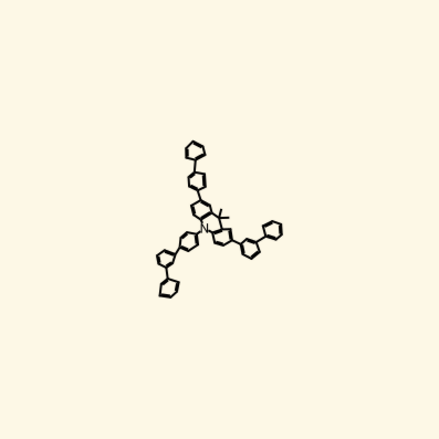 CC1(C)c2cc(-c3ccc(-c4ccccc4)cc3)ccc2N(c2ccc(-c3cccc(-c4ccccc4)c3)cc2)c2ccc(-c3cccc(-c4ccccc4)c3)cc21